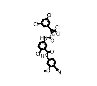 COc1cc(NC(=O)c2cc(NC(=O)[C@@H]3C(c4cc(Cl)cc(Cl)c4)C3(Cl)Cl)ccc2Cl)ccc1C#N